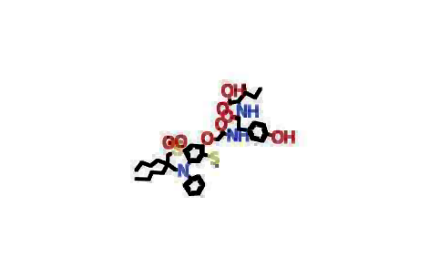 CCCCC1(CCCC)CN(c2ccccc2)c2cc(SC)c(OCC(=O)NC(C(=O)N[C@@H](C(=O)O)[C@@H](C)CC)c3ccc(O)cc3)cc2S(=O)(=O)C1